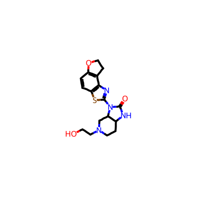 O=C1NC2CCN(CCO)CC2N1c1nc2c3c(ccc2s1)OCC3